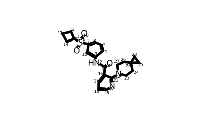 O=C(Nc1cccc(S(=O)(=O)C2CCC2)c1)c1cccnc1N1CCC2(CC1)CC2